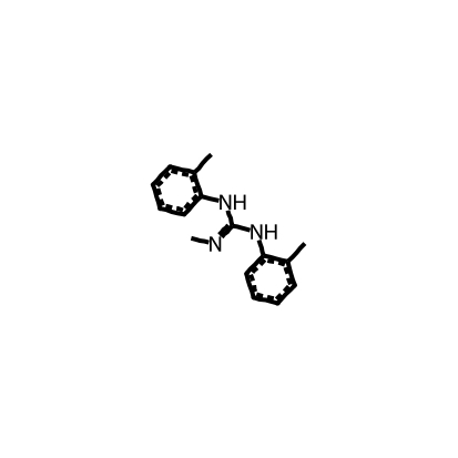 CN=C(Nc1ccccc1C)Nc1ccccc1C